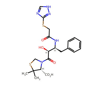 CC1(C)SCN(C(=O)[C@@H](O)[C@H](Cc2ccccc2)NC(=O)CSc2nc[nH]n2)[C@@H]1C(=O)O